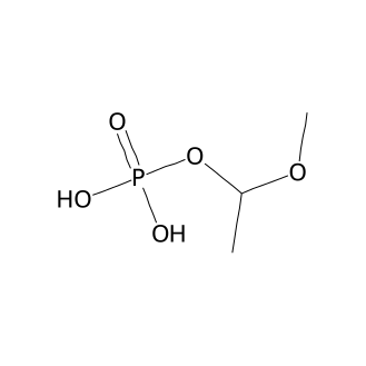 COC(C)OP(=O)(O)O